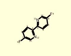 Fc1ccc(-c2ccc(F)cn2)nc1